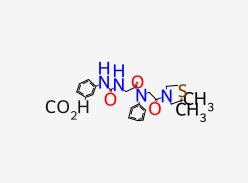 CC1(C)CN(C(=O)CN(C(=O)CNC(=O)Nc2cccc(C(=O)O)c2)c2ccccc2)CCS1